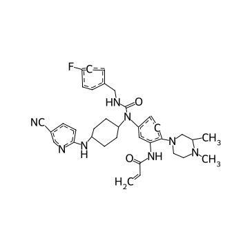 C=CC(=O)Nc1cc(N(C(=O)NCc2ccc(F)cc2)C2CCC(Nc3ccc(C#N)cn3)CC2)ccc1N1CCN(C)C(C)C1